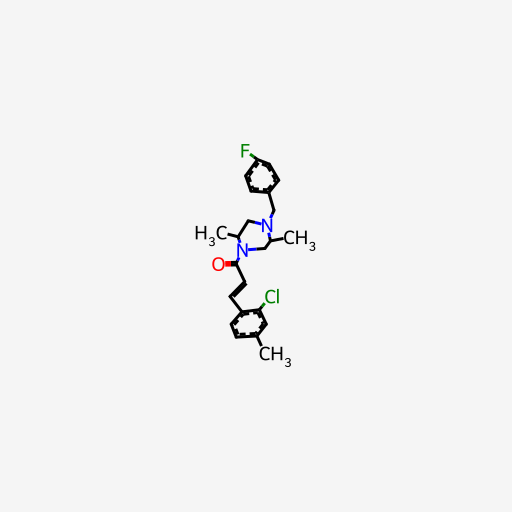 Cc1ccc(/C=C/C(=O)N2CC(C)N(Cc3ccc(F)cc3)CC2C)c(Cl)c1